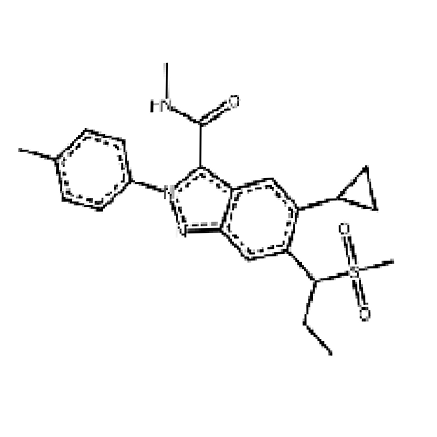 CCC(c1cc2nn(-c3ccc(C)cc3)c(C(=O)NC)c2cc1C1CC1)S(C)(=O)=O